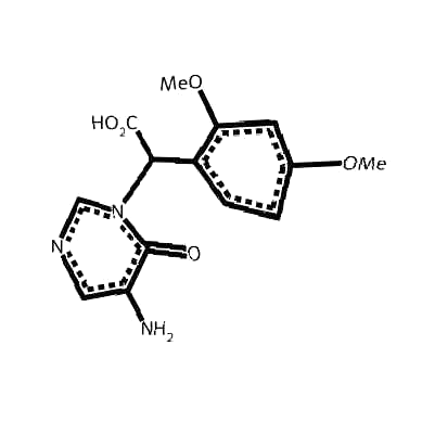 COc1ccc(C(C(=O)O)n2cncc(N)c2=O)c(OC)c1